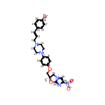 C[C@]1(COc2ccc(N3CCN(C/C=C/c4ccc(Br)cc4)CC3)cc2)Cn2cc([N+](=O)[O-])nc2O1